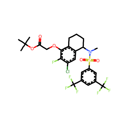 CN(C1CCCc2c1cc(Cl)c(F)c2OCC(=O)OC(C)(C)C)S(=O)(=O)c1cc(C(F)(F)F)cc(C(F)(F)F)c1